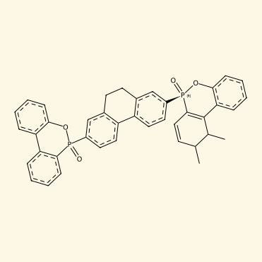 CC1C=CC2=C(c3ccccc3O[P@]2(=O)c2ccc3c(c2)CCc2cc(P4(=O)Oc5ccccc5-c5ccccc54)ccc2-3)C1C